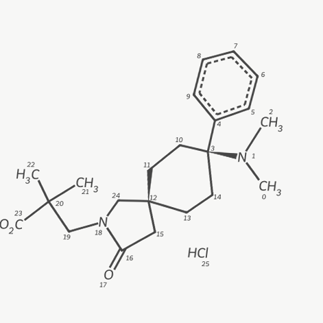 CN(C)[C@]1(c2ccccc2)CC[C@@]2(CC1)CC(=O)N(CC(C)(C)C(=O)O)C2.Cl